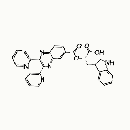 O=C(O[C@@H](CC1CNc2ccccc21)C(=O)O)c1ccc2nc(-c3ccccn3)c(-c3ccccn3)nc2c1